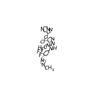 CCN1CCN(Cc2ccc(Nc3nc4ncc(Oc5cnn6ccncc56)c(Cl)c4n3C)cc2C(F)(F)F)CC1